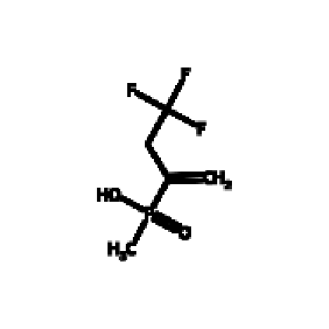 C=C(CC(F)(F)F)P(C)(=O)O